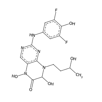 CC(O)CCN1c2nc(Nc3cc(F)c(O)c(F)c3)ncc2N(O)C(=O)C1O